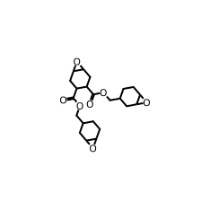 O=C(OCC1CCC2OC2C1)C1CC2OC2CC1C(=O)OCC1CCC2OC2C1